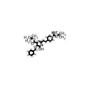 CC(C)(C)OC(=O)c1nc(CCC2CCN(C(=O)OC(C)(C)C)CC2)nc(O)c1OCc1ccccc1